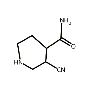 N#CC1CNCCC1C(N)=O